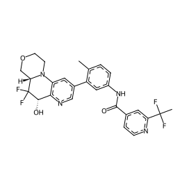 Cc1ccc(NC(=O)c2ccnc(C(C)(F)F)c2)cc1-c1cnc2c(c1)N1CCOC[C@H]1C(F)(F)[C@H]2O